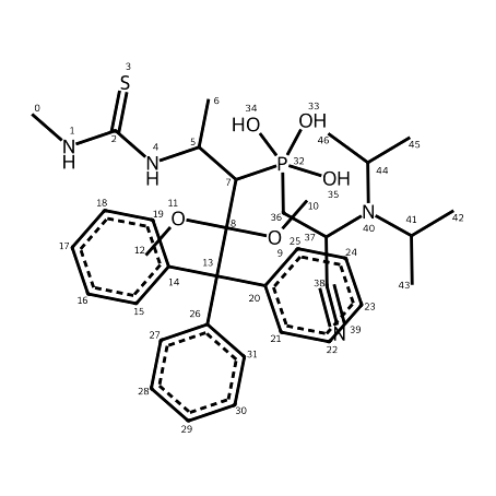 CNC(=S)NC(C)C(C(OC)(OC)C(c1ccccc1)(c1ccccc1)c1ccccc1)P(O)(O)(O)CC(C#N)N(C(C)C)C(C)C